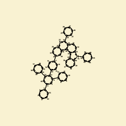 c1ccc(-c2cc(-c3ccccc3)c(-c3ccc(-c4ccc5nc(-c6ccccc6)c6ccc7c(c8ccccc8n7-c7ccccc7)c6c5c4)cc3)c(-c3ccccc3)c2)cc1